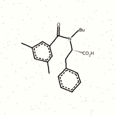 CCC(C)N(C(=O)c1cc(C)cc(C)c1)[C@@H](Cc1ccccc1)C(=O)O